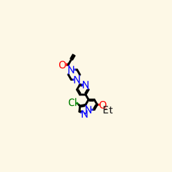 C#CC(=O)N1CCN(c2ccc(-c3cc(OCC)cn4ncc(Cl)c34)cn2)CC1